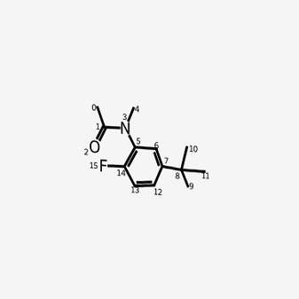 CC(=O)N(C)c1cc(C(C)(C)C)ccc1F